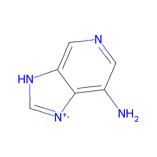 Nc1cncc2c1[N+]=CN2